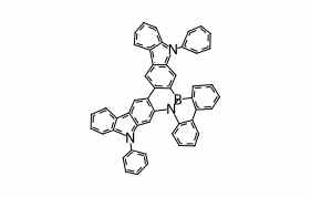 c1ccc(-n2c3ccccc3c3cc4c(cc32)B2c3ccccc3-c3ccccc3N2c2cc3c(cc2-4)c2ccccc2n3-c2ccccc2)cc1